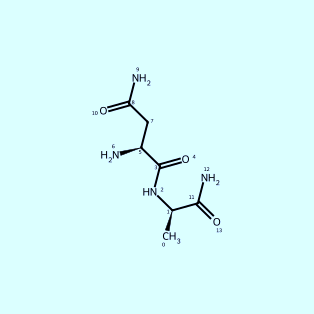 C[C@@H](NC(=O)[C@@H](N)CC(N)=O)C(N)=O